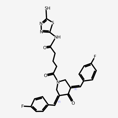 O=C(CCCC(=O)N1C/C(=C\c2ccc(F)cc2)C(=O)/C(=C/c2ccc(F)cc2)C1)Nc1nnc(S)s1